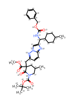 COC(=O)C1(Cc2ccc3nc([C@@H](NC(=O)OCc4ccccc4)C4CCC(C)CC4)cn3n2)CC(C)CN(C(=O)OC(C)(C)C)C1=O